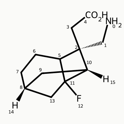 NC[C@@]1(CC(=O)O)C2CC[C@@H]3C[C@H]1C2(F)C3